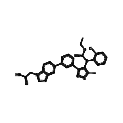 CCOC(=O)N(c1ccccc1Cl)c1c(C)noc1-c1cccc(-c2ccc3c(ccn3CC(=O)O)c2)c1